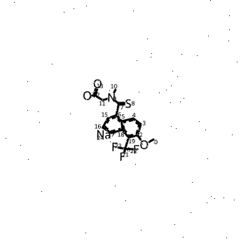 COc1ccc2c(C(=S)N(C)CC(=O)[O-])cccc2c1C(F)(F)F.[Na+]